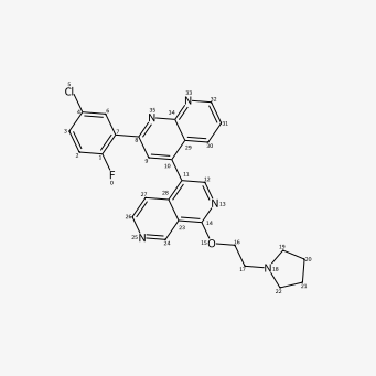 Fc1ccc(Cl)cc1-c1cc(-c2cnc(OCCN3CCCC3)c3cnccc23)c2cccnc2n1